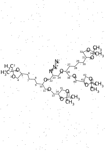 CC1(C)OCC(CCCCC(COCC2COC(C)(C)O2)OCC(COC(CCCCC2COC(C)(C)O2)COCC2COC(C)(C)O2)N=[N+]=[N-])O1